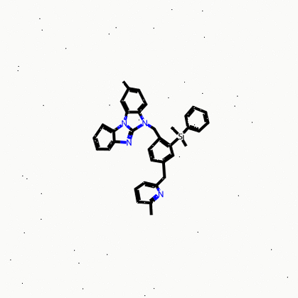 Cc1ccc2c(c1)n1c3ccccc3nc1n2Cc1ccc(Cc2cccc(C)n2)cc1[Si](C)(C)c1ccccc1